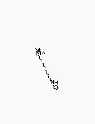 [SiH3]CNCCCCCCCCCCCCCCCNCc1ccccc1